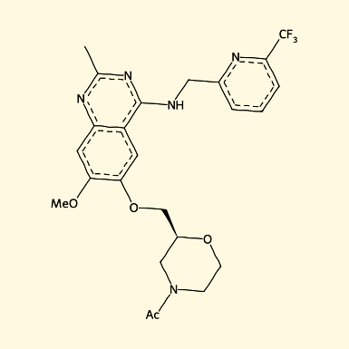 COc1cc2nc(C)nc(NCc3cccc(C(F)(F)F)n3)c2cc1OC[C@@H]1CN(C(C)=O)CCO1